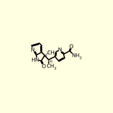 C[C@H](c1ccc(C(N)=O)nc1)[C@@]1(C)C(=O)Nc2ncccc21